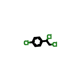 ClCC(Cl)c1ccc(Cl)cc1